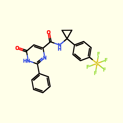 O=C(NC1(c2ccc(S(F)(F)(F)(F)F)cc2)CC1)c1cc(=O)[nH]c(-c2ccccc2)n1